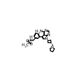 CS(=O)(=O)NCc1cccc(-c2cn([C@H]3C[C@@H](CN4CCCC4)C3)c3ncnc(N)c23)c1